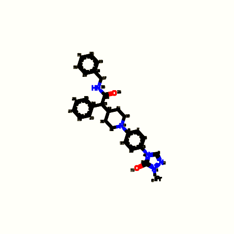 CC(C)n1ncn(-c2ccc(N3CCC(C(C(=O)NCc4ccccc4)c4ccccc4)CC3)cc2)c1=O